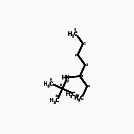 CCCCC(CC)NC(C)(C)C